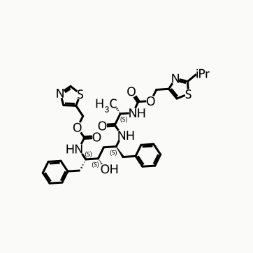 CC(C)c1nc(COC(=O)N[C@@H](C)C(=O)N[C@@H](Cc2ccccc2)C[C@H](O)[C@H](Cc2ccccc2)NC(=O)OCc2cncs2)cs1